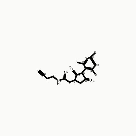 C#CCCNC(=O)CC1CC(=O)C(c2c(C)cc(C)cc2C)C1=O